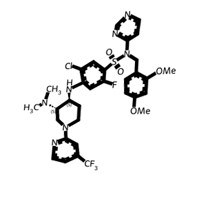 COc1ccc(CN(c2ccncn2)S(=O)(=O)c2cc(Cl)c(N[C@H]3CCN(c4cc(C(F)(F)F)ccn4)C[C@@H]3N(C)C)cc2F)c(OC)c1